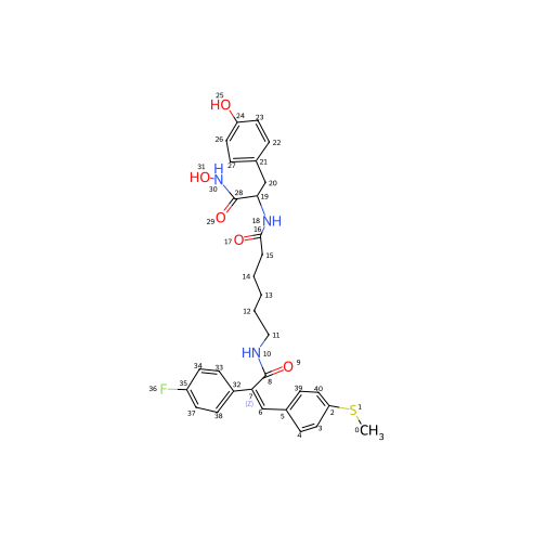 CSc1ccc(/C=C(\C(=O)NCCCCCC(=O)NC(Cc2ccc(O)cc2)C(=O)NO)c2ccc(F)cc2)cc1